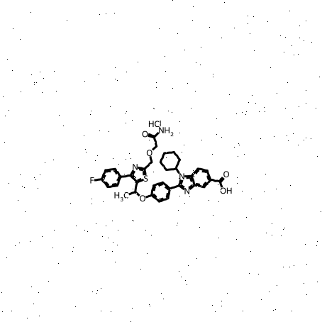 CC(Oc1ccc(-c2nc3cc(C(=O)O)ccc3n2C2CCCCC2)cc1)c1sc(COCC(N)=O)nc1-c1ccc(F)cc1.Cl